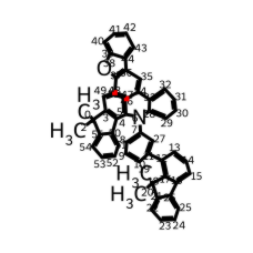 CC1(C)C2=C(C(N(c3cccc(-c4cccc5c4C(C)(C)c4ccccc4-5)c3)c3ccccc3C3=Cc4c(oc5ccccc45)CC3)=C=C=C2)c2ccccc21